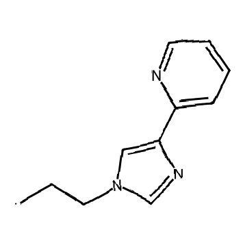 [CH2]CCn1cnc(-c2ccccn2)c1